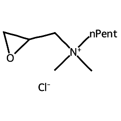 CCCCC[N+](C)(C)CC1CO1.[Cl-]